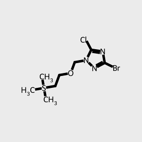 CS(C)(C)CCOCn1nc(Br)nc1Cl